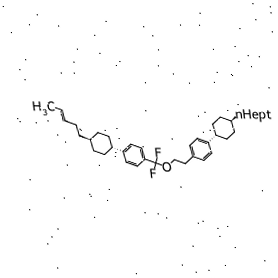 C/C=C/CC[C@H]1CC[C@H](c2ccc(C(F)(F)OCCc3ccc([C@H]4CC[C@H](CCCCCCC)CC4)cc3)cc2)CC1